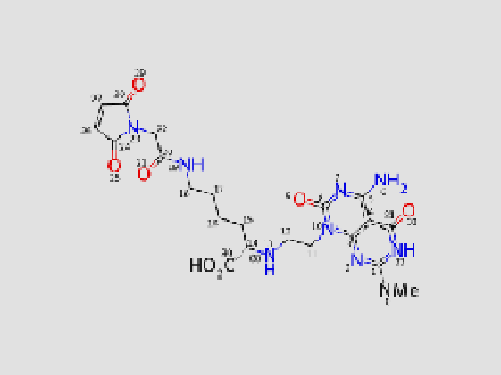 CNc1nc2c(c(N)nc(=O)n2CCN[C@@H](CCCCNC(=O)CN2C(=O)C=CC2=O)C(=O)O)c(=O)[nH]1